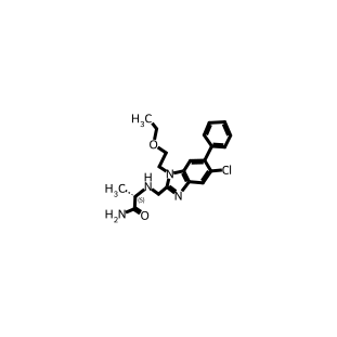 CCOCCn1c(CN[C@@H](C)C(N)=O)nc2cc(Cl)c(-c3ccccc3)cc21